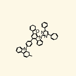 CC1C=Cc2c(n(-c3ccc(-c4cc5c6c(oc5c5c4c4ccccc4n5-c4nc(C5=CC=CCC=C5)cc(-c5ccccc5)n4)CCC=C6)cc3)c3ccccc23)C1